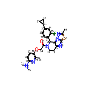 Cc1nn2c3c(nc2s1)CCN(C(=O)COc1ccc(N(C)C)nc1C)C3c1ccc(C2CC2)cc1F